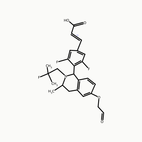 CC1Cc2cc(OCC=O)ccc2C(c2c(F)cc(/C=C/C(=O)O)cc2F)N1CC(C)(C)F